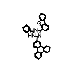 c1ccc(C2NC(c3ccc4c5ccccc5c5ccccc5c4c3)=NC(c3cccc4c3oc3ccccc34)N2)cc1